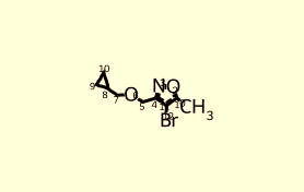 Cc1onc(COCC2CC2)c1Br